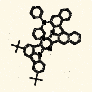 CC(C)(C)c1ccc2c(c1)c1cc(C(C)(C)C)cc3c4nc5c(nc4n2c13)c1cc2ccccc2c2c3c4ccccc4cc(N(c4ccccc4)c4ccccc4)c3n5c12